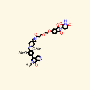 COc1cc(-c2cn(C)c(=O)c3cnccc23)cc(OC)c1CN1CCC2(CC1)CN(C(=O)CCOCCOc1ccc3c(c1)C(=O)N(C1CCC(=O)NC1=O)C3=O)C2